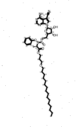 CCCCCCCCCCCCCCCCOCCCOC(=O)[C@@H](C)N(Oc1ccccc1)[PH](=O)OCC1O[C@@H](n2cc(C#N)c3c(N)ncnc32)[C@H](O)[C@@H]1O